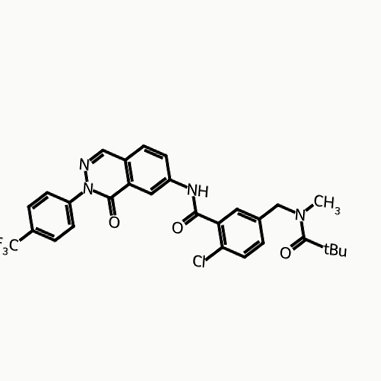 CN(Cc1ccc(Cl)c(C(=O)Nc2ccc3cnn(-c4ccc(C(F)(F)F)cc4)c(=O)c3c2)c1)C(=O)C(C)(C)C